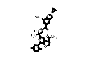 COc1cc(C(=O)NCC(O)(c2cc3c(c(-c4cc(F)ccc4Cl)n2)OC[C@]3(C)C(N)=O)C(F)(F)F)cc2cn(C3CC3)nc12